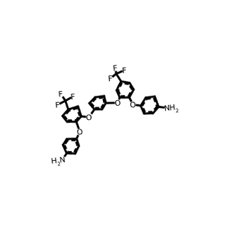 Nc1ccc(Oc2ccc(C(F)(F)F)cc2Oc2cccc(Oc3cc(C(F)(F)F)ccc3Oc3ccc(N)cc3)c2)cc1